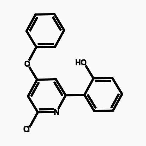 Oc1ccccc1-c1cc(Oc2ccccc2)cc(Cl)n1